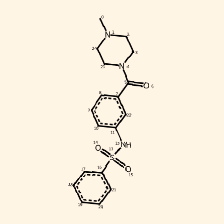 CN1CCN(C(=O)c2cccc(NS(=O)(=O)c3ccccc3)c2)CC1